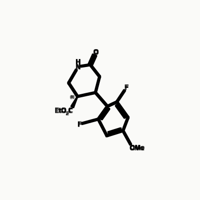 CCOC(=O)[C@H]1CNC(=O)CC1c1c(F)cc(OC)cc1F